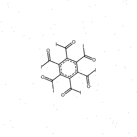 O=C(I)c1c(C(=O)I)c(C(=O)I)c(C(=O)I)c(C(=O)I)c1C(=O)I